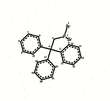 BrP(Br)CC(c1ccccc1)(c1ccccc1)c1ccccc1